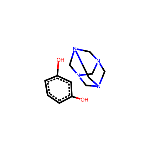 C1N2CN3CN1CN(C2)C3.Oc1cccc(O)c1